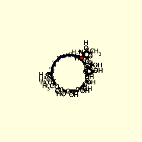 CC1[C@@H](C)[C@H](C)OC(=O)CC(O)CC(O)CCC(O)C(O)CC(O)CC2(O)C[C@H](O)C(C(=O)O)[C@H](CC(OC3O[C@H](C)C(O)[C@H](N)[C@@H]3O)/C=C/C=C/C=C/C=C/C=C/C=C/C=C/[C@@H]1C)O2